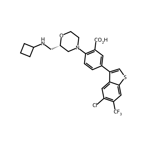 O=C(O)c1cc(-c2csc3cc(C(F)(F)F)c(Cl)cc23)ccc1N1CCO[C@@H](CNC2CCC2)C1